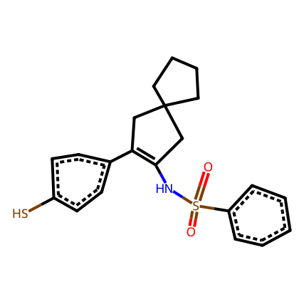 O=S(=O)(NC1=C(c2ccc(S)cc2)CC2(CCCC2)C1)c1ccccc1